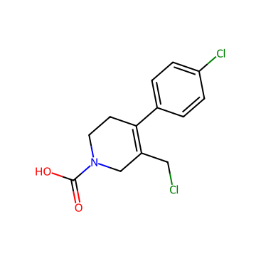 O=C(O)N1CCC(c2ccc(Cl)cc2)=C(CCl)C1